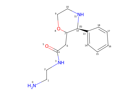 NCCNC(=O)CC1OCCN[C@H]1c1ccccc1